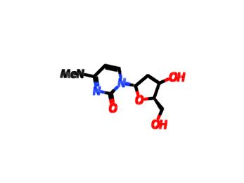 CNc1ccn([C@H]2CC(O)[C@@H](CO)O2)c(=O)n1